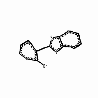 Brc1ccccc1-c1nc2ccccc2s1